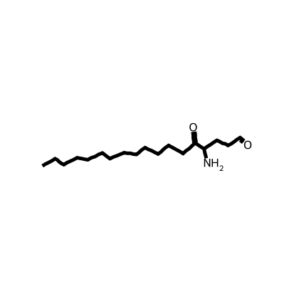 CCCCCCCCCCCCCC(=O)C(N)CCC=O